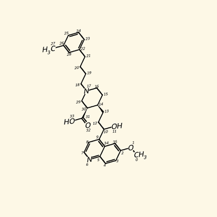 COc1ccc2nccc(C(O)CC[C@@H]3CCN(CCCCc4cccc(C)c4)C[C@@H]3C(=O)O)c2c1